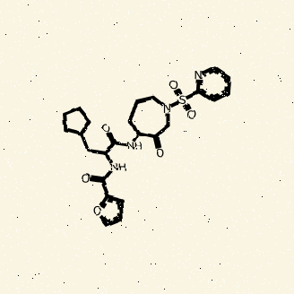 O=C(NC(CC1CCCC1)C(=O)N[C@H]1CCCN(S(=O)(=O)c2ccccn2)CC1=O)c1ccco1